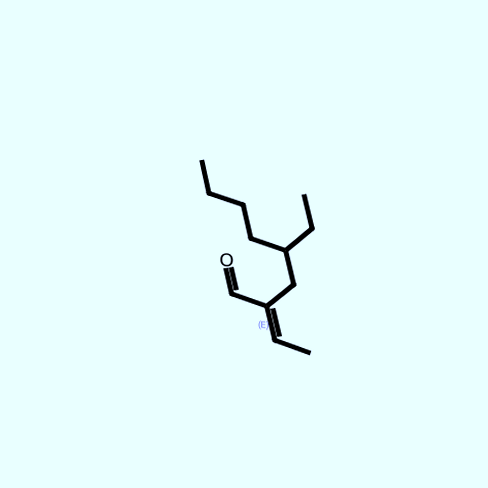 C/C=C(/C=O)CC(CC)CCCC